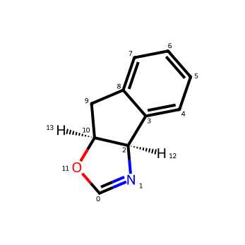 C1=N[C@@H]2c3ccccc3C[C@@H]2O1